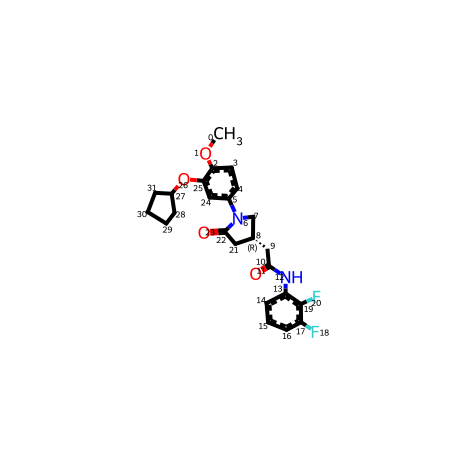 COc1ccc(N2C[C@H](CC(=O)Nc3cccc(F)c3F)CC2=O)cc1OC1CCCC1